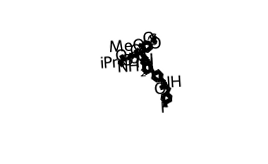 COc1cc(S(C)(=O)=O)ccc1N(C(=O)OCOC(=O)C(N)C(C)C)c1nc2ccc(-c3ccc(NC(=O)Cc4ccc(F)cc4)cc3)cn2n1